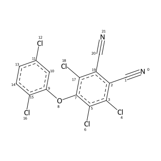 N#Cc1c(Cl)c(Cl)c(Oc2cc(Cl)ccc2Cl)c(Cl)c1C#N